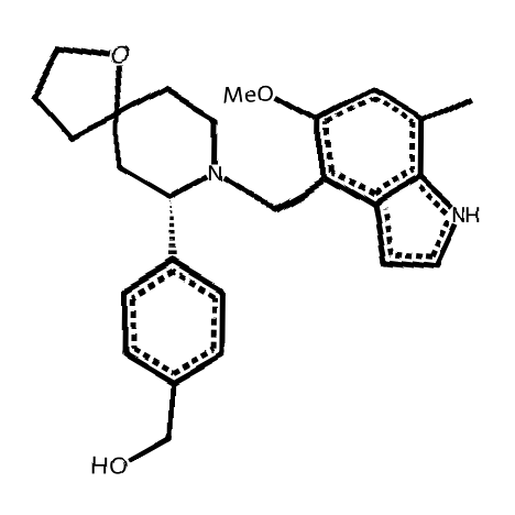 COc1cc(C)c2[nH]ccc2c1CN1CCC2(CCCO2)C[C@H]1c1ccc(CO)cc1